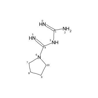 N=C(N)NC(=N)N1CCCC1